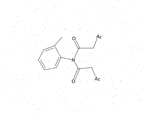 CC(=O)CC(=O)N(C(=O)CC(C)=O)c1ccccc1C